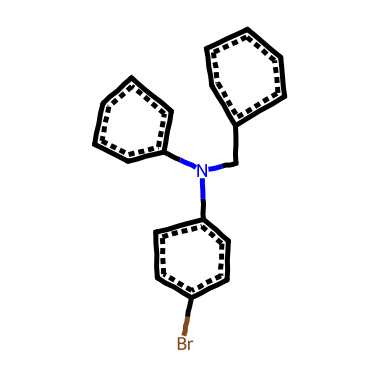 Brc1ccc(N(Cc2ccccc2)c2ccccc2)cc1